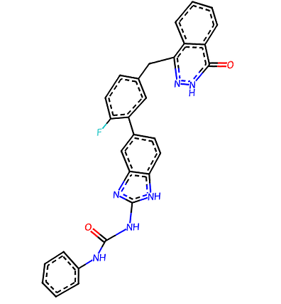 O=C(Nc1ccccc1)Nc1nc2cc(-c3cc(Cc4n[nH]c(=O)c5ccccc45)ccc3F)ccc2[nH]1